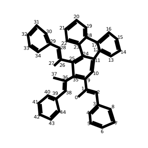 CC(=Cc1ccccc1)c1cc2c3ccccc3c3ccccc3c2c(C(C)=Cc2ccccc2)c1C(C)=Cc1ccccc1